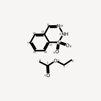 CCOC(C)=O.O=S1(=O)NN=Cc2ccccc21